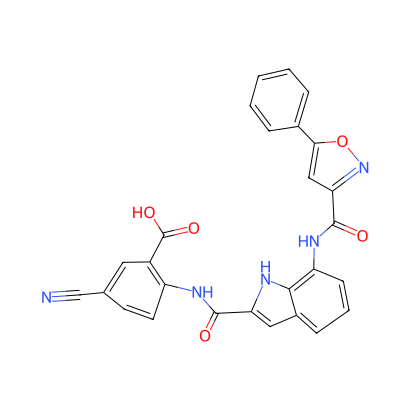 N#Cc1ccc(NC(=O)c2cc3cccc(NC(=O)c4cc(-c5ccccc5)on4)c3[nH]2)c(C(=O)O)c1